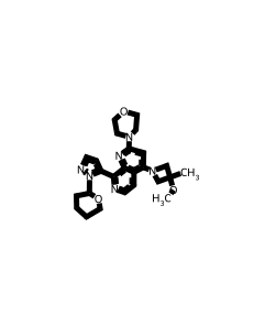 COC1(C)CN(c2cc(N3CCOCC3)nc3c(-c4ccnn4C4CCCCO4)nccc23)C1